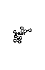 c1ccc(-c2cc3oc4cc(-n5c6ccccc6c6ccc7c(c65)-c5ccccc5C75c6ccccc6-c6ccccc65)cc5c6ccccc6c(c2)c3c45)cc1